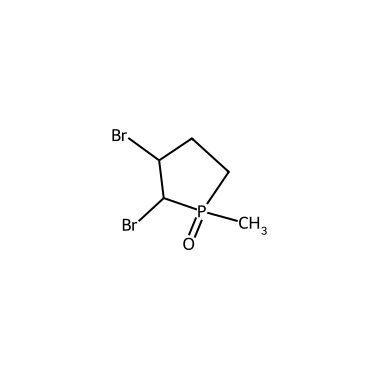 CP1(=O)CCC(Br)C1Br